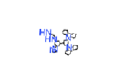 N=C/C=C\Nc1cc(-c2cc(-n3c4ccccc4c4ccccc43)cc(-n3c4ccccc4c4ccccc43)c2)cc(-n2cccn2)c1